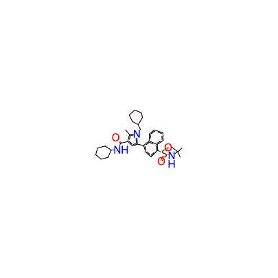 Cc1c(C(=O)NC2CCCCC2)cc(-c2ccc(S(=O)(=O)NC(C)(C)C)c3ccccc23)n1CC1CCCCC1